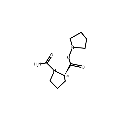 NC(=O)N1CCC[C@@H]1C(=O)ON1CCCC1